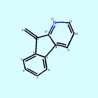 C=C1c2ccccc2-c2cccnc21